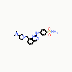 CN(C)C1CCN(Cc2cccc3cnc(Nc4ccc(S(N)(=O)=O)cc4)nc23)C1